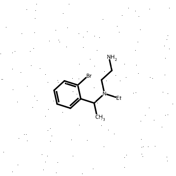 CCN(CCN)C(C)c1ccccc1Br